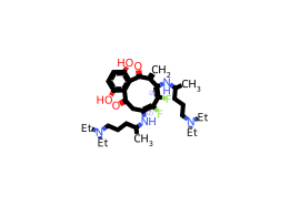 C=C1C(=O)c2c(O)ccc(O)c2C(=O)C/C(NC(C)CCCN(CC)CC)=C(F)\C(F)=C/1NC(C)CCCN(CC)CC